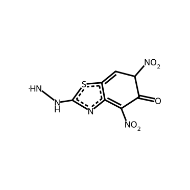 [NH]Nc1nc2c(s1)=CC([N+](=O)[O-])C(=O)C=2[N+](=O)[O-]